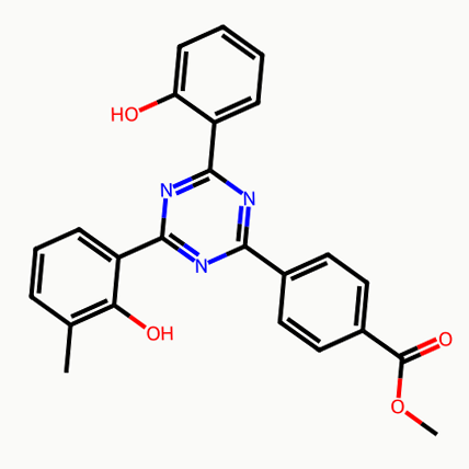 COC(=O)c1ccc(-c2nc(-c3ccccc3O)nc(-c3cccc(C)c3O)n2)cc1